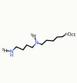 [2H]NCCCCN([2H])CCCCCCCCCCCCC